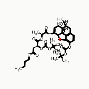 CCCCOC(=O)C[C@H](OC(=O)OC(C)(C)C)C(=O)O[C@@H](C)C(=O)OC1=CC[C@@]2(O)[C@H]3Cc4ccc(OC(=O)OC(C)(C)C)c5c4[C@@]2(CCN3C)[C@H]1O5